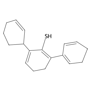 SC1=C(C2=CCCC=C2)CCC=C1C1C=CCCC1